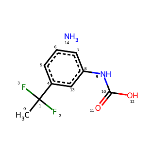 CC(F)(F)c1cccc(NC(=O)O)c1.N